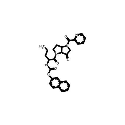 CCCC(NC(=O)Oc1ccc2ccccc2c1)C(=O)N1CCC2C1C(=O)CN2C(=O)c1ccccn1